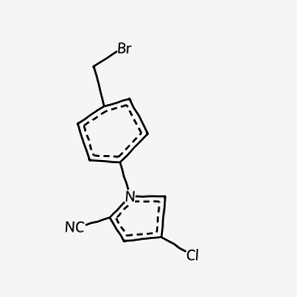 N#Cc1cc(Cl)cn1-c1ccc(CBr)cc1